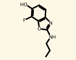 CCCNc1nc2ccc(O)c(F)c2o1